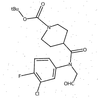 CC(C)(C)OC(=O)N1CCC(C(=O)N(CC=O)c2ccc(F)c(Cl)c2)CC1